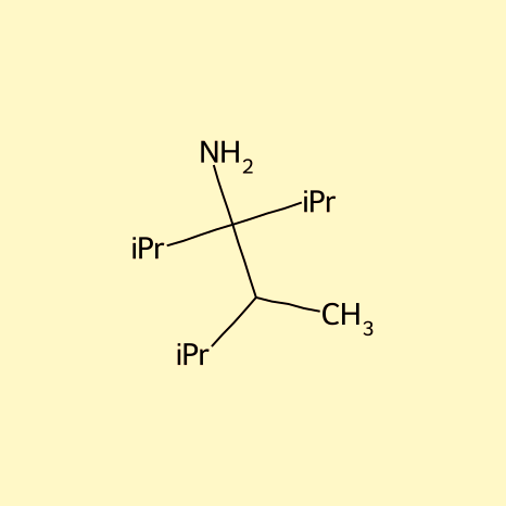 CC(C)C(C)C(N)(C(C)C)C(C)C